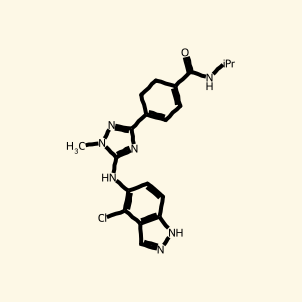 CC(C)NC(=O)C1=CC=C(c2nc(Nc3ccc4[nH]ncc4c3Cl)n(C)n2)CC1